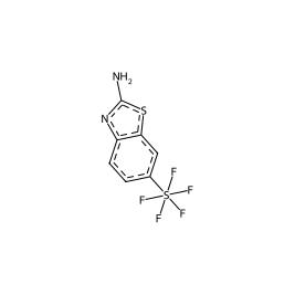 Nc1nc2ccc(S(F)(F)(F)(F)F)cc2s1